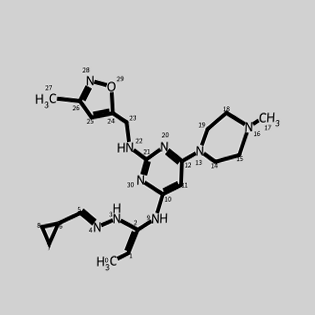 C/C=C(\N/N=C/C1CC1)Nc1cc(N2CCN(C)CC2)nc(NCc2cc(C)no2)n1